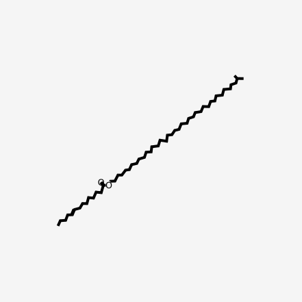 CCCCC=CCCCCCCCC(=O)OCCCCCCCCCCCCCCCCCCCCCCCCCCCCCCCCCCCCC(C)C